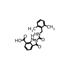 Cc1cccc(C)c1CNC(=O)n1[nH]c2c(C(=O)O)cccc2c1=O